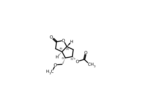 COC[C@@H]1[C@H]2CC(=O)O[C@@H]2C[C@@H]1OC(C)=O